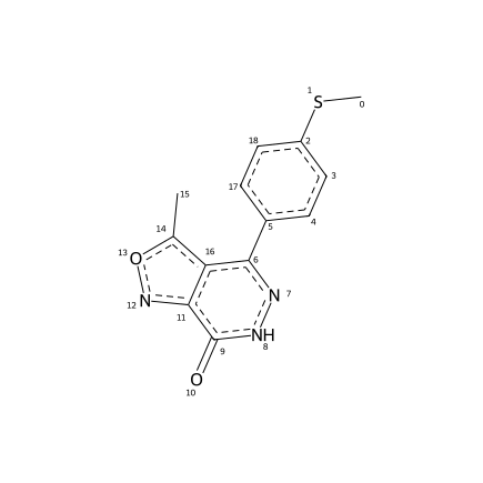 CSc1ccc(-c2n[nH]c(=O)c3noc(C)c23)cc1